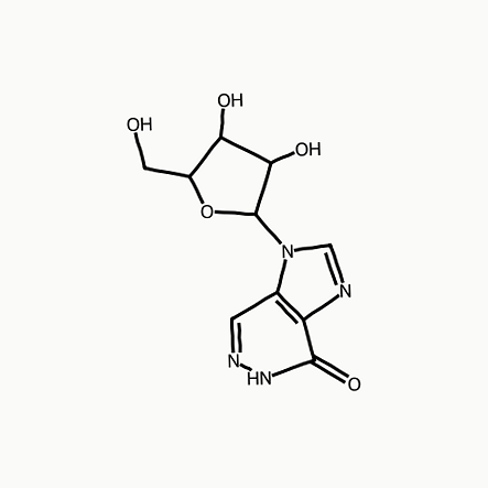 O=c1[nH]ncc2c1ncn2C1OC(CO)C(O)C1O